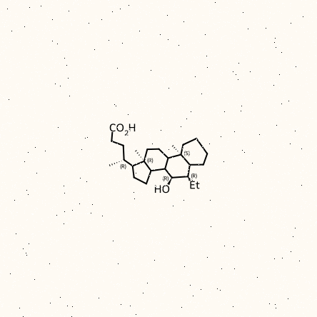 CC[C@@H]1C2CCCC[C@]2(C)C2CC[C@@]3(C)C(CCC3[C@H](C)CCC(=O)O)C2[C@@H]1O